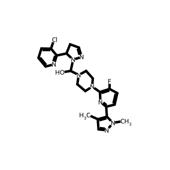 Cc1cnn(C)c1-c1ccc(F)c(N2CCN(C(O)N3N=CCC3c3ncccc3Cl)CC2)n1